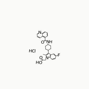 Cc1c(C2CCC(NC(=O)c3cccc4ncccc34)CC2)c2cc(F)ccc2n1CC(=O)O.Cl